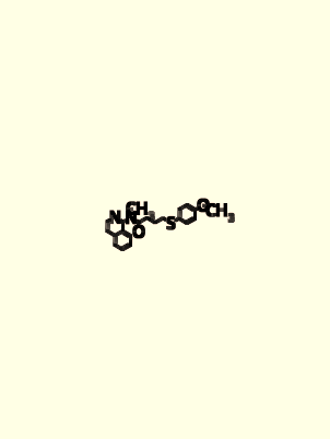 COc1ccc(SCCCC(=O)N(C)c2nccc3ccccc23)cc1